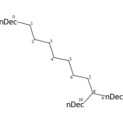 CCCCCCCCCCCCCCCC[CH]C(CCCCCCCCCC)CCCCCCCCCC